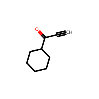 C#CC(=O)C1CCCCC1